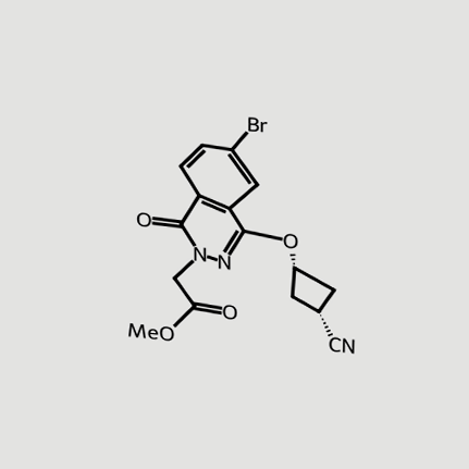 COC(=O)Cn1nc(O[C@H]2C[C@@H](C#N)C2)c2cc(Br)ccc2c1=O